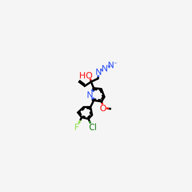 C=CC(O)(CN=[N+]=[N-])c1ccc(OC)c(-c2ccc(F)c(Cl)c2)n1